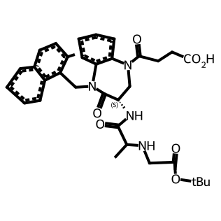 Cc1ccc2ccccc2c1CN1C(=O)[C@@H](NC(=O)C(C)NCC(=O)OC(C)(C)C)CN(C(=O)CCC(=O)O)c2ccccc21